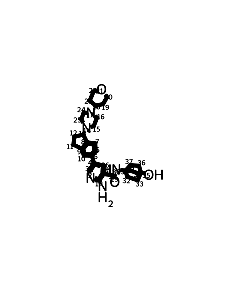 Nc1ncc(-c2ccc3c(c2)CCC3N2CCN(C3CCOCC3)CC2)cc1C(=O)NC12CCC(O)(CC1)CC2